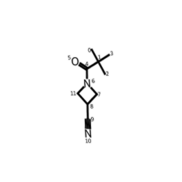 CC(C)(C)C(=O)N1CC(C#N)C1